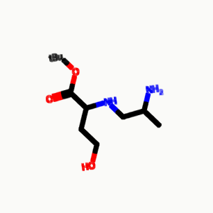 CC(N)CNC(CCO)C(=O)OC(C)(C)C